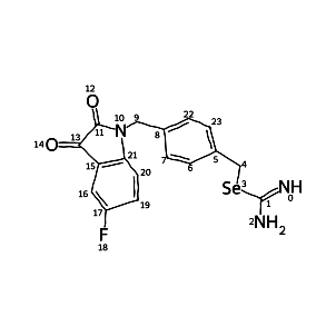 N=C(N)[Se]Cc1ccc(CN2C(=O)C(=O)c3cc(F)ccc32)cc1